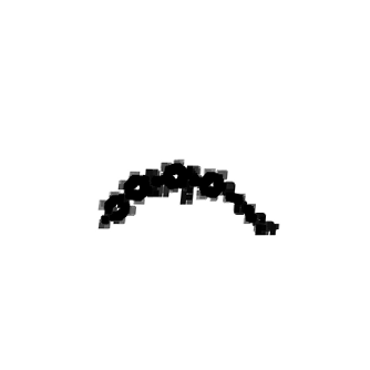 CCCOCCOCCOc1ccc(C2=NC3C=CC(c4nc5ccc(N6CCN(C)CC6)cc5[nH]4)=CC3N2)cc1